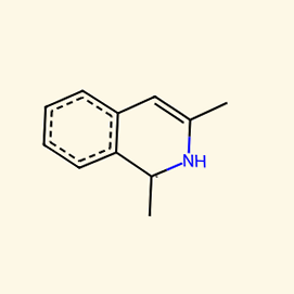 C[C]1NC(C)=Cc2ccccc21